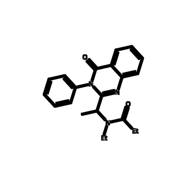 CCC(=O)N(CC)C(C)c1nc2ccccc2c(=O)n1-c1ccccc1